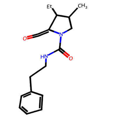 CCC1C(=C=O)N(C(=O)NCCc2ccccc2)CC1C